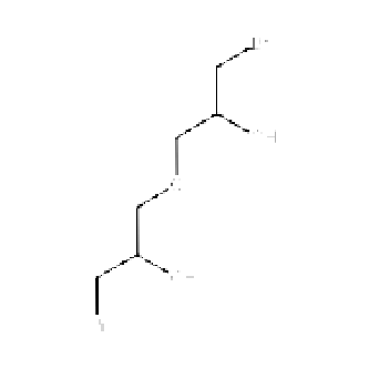 OC(CBr)COCC(O)CBr